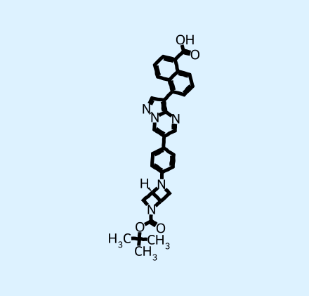 CC(C)(C)OC(=O)N1C[C@@H]2C1CN2c1ccc(-c2cnc3c(-c4cccc5c(C(=O)O)cccc45)cnn3c2)cc1